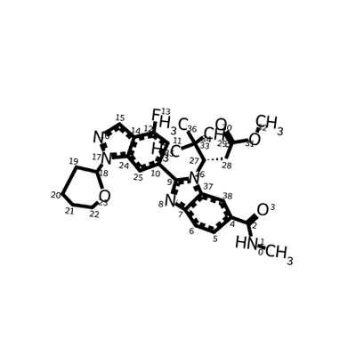 CNC(=O)c1ccc2nc(-c3cc(F)c4cnn(C5CCCCO5)c4c3)n([C@@H](CC(=O)OC)C(C)(C)C)c2c1